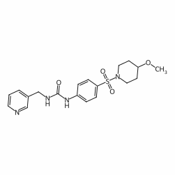 COC1CCN(S(=O)(=O)c2ccc(NC(=O)NCc3cccnc3)cc2)CC1